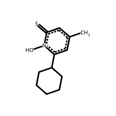 Cc1cc(C2CCCCC2)n(O)c(=S)c1